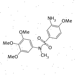 COc1ccc(S(=O)(=O)N(C)c2cc(OC)c(OC)c(OC)c2)cc1N